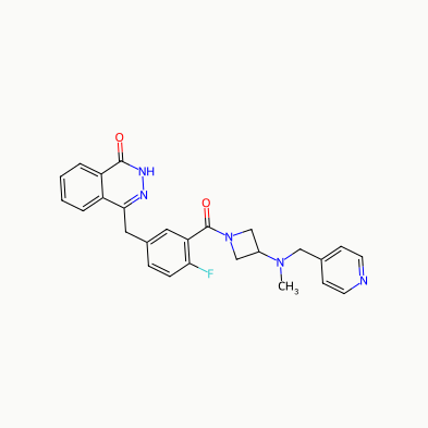 CN(Cc1ccncc1)C1CN(C(=O)c2cc(Cc3n[nH]c(=O)c4ccccc34)ccc2F)C1